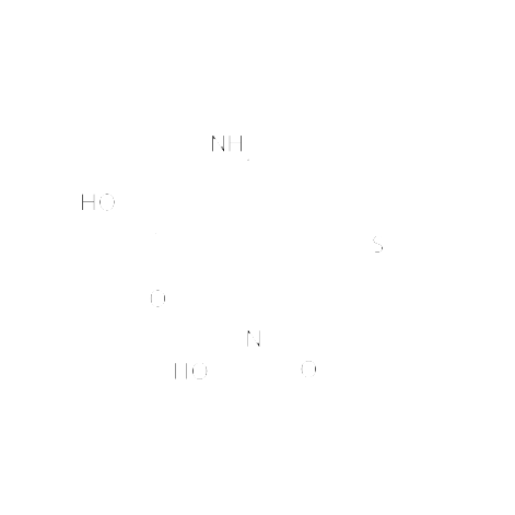 CSCCC(N)C(=O)O.O=NO